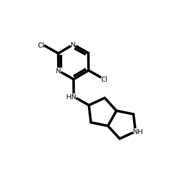 Clc1ncc(Cl)c(NC2CC3CNCC3C2)n1